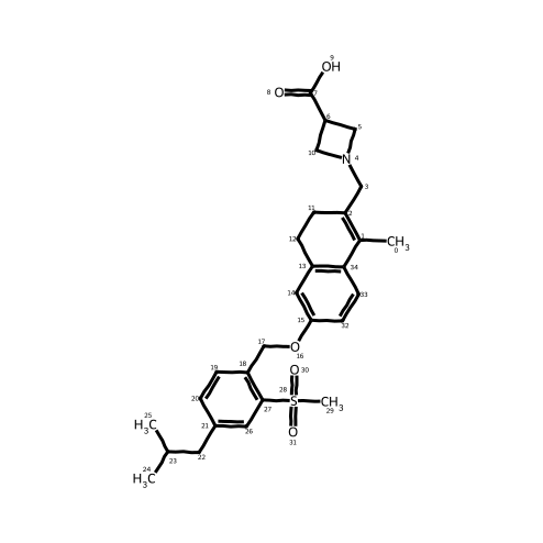 CC1=C(CN2CC(C(=O)O)C2)CCc2cc(OCc3ccc(CC(C)C)cc3S(C)(=O)=O)ccc21